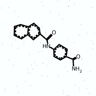 NC(=O)c1ccc(NC(=O)c2ccc3ccccc3c2)cc1